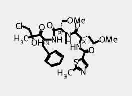 COCC[C@H](NC(=O)c1cnc(C)s1)C(=O)N[C@@H](COC)C(=O)N[C@@H](Cc1ccccc1)C(=O)C(C)(O)CCl